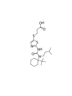 CC(C)CCN(C(=O)Nc1ncc(SCCC(=O)O)s1)C1(C(C)(C)C)CCCCC1